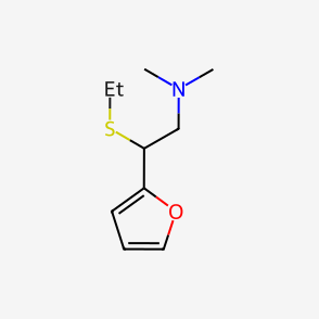 [CH2]CSC(CN(C)C)c1ccco1